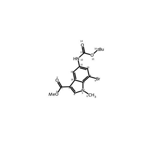 COC(=O)c1cn(C)c2c(Br)cc(NC(=O)OC(C)(C)C)cc12